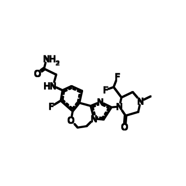 CN1CC(=O)N(c2cn3c(n2)-c2ccc(NCC(N)=O)c(F)c2OCC3)C(C(F)F)C1